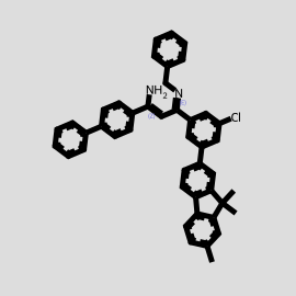 Cc1ccc2c(c1)C(C)(C)c1cc(-c3cc(Cl)cc(C(/C=C(\N)c4ccc(-c5ccccc5)cc4)=N/Cc4ccccc4)c3)ccc1-2